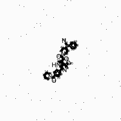 COc1cnc(-c2ccc(C(=O)N3CCCCC3)cc2)c2[nH]cc(C(=O)C(=O)N3CCC(=C(C#N)c4ccccc4)CC3)c12